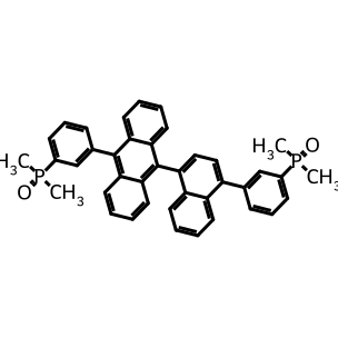 CP(C)(=O)c1cccc(-c2ccc(-c3c4ccccc4c(-c4cccc(P(C)(C)=O)c4)c4ccccc34)c3ccccc23)c1